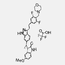 COc1ccc2c(c1)[C@]1(C[C@H]1c1ccc3c(C=Cc4cc(F)c(CN5CCOCC5)c(F)c4)n[nH]c3c1)C(=O)N2.O=C(O)C(F)(F)F